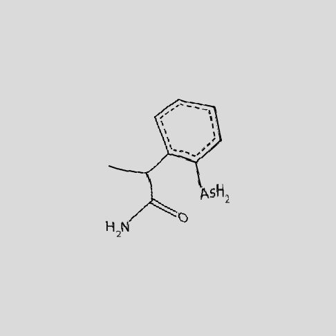 CC(C(N)=O)c1ccccc1[AsH2]